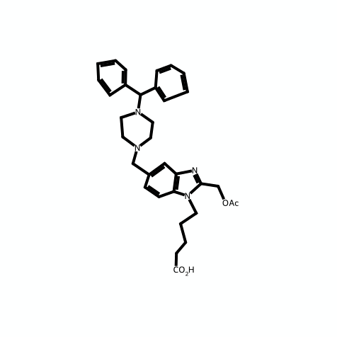 CC(=O)OCc1nc2cc(CN3CCN(C(c4ccccc4)c4ccccc4)CC3)ccc2n1CCCCC(=O)O